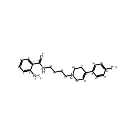 Nc1ccccc1C(=O)NCCCCN1CC=C(c2ccc(F)cc2)CC1